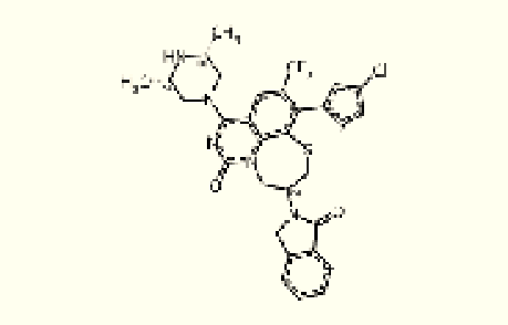 C[C@@H]1CN(c2nc(=O)n3c4c(c(-c5cc(Cl)cs5)c(C(F)(F)F)cc24)SC[C@@H](N2Cc4ccccc4C2=O)C3)C[C@H](C)N1